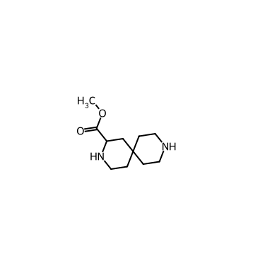 COC(=O)C1CC2(CCNCC2)CCN1